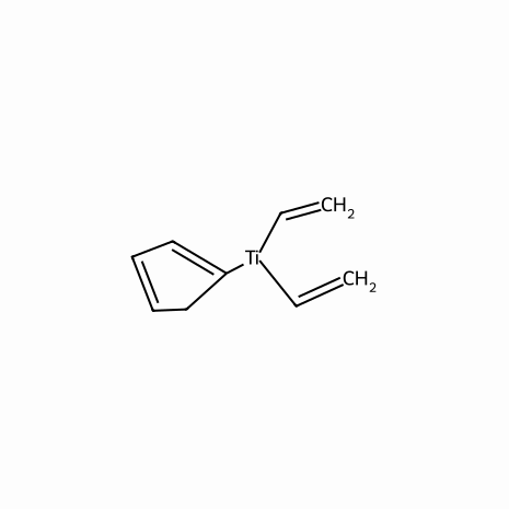 C=[CH][Ti]([CH]=C)[C]1=CC=CC1